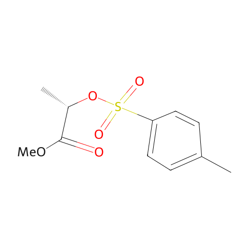 COC(=O)[C@H](C)OS(=O)(=O)c1ccc(C)cc1